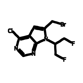 FCC(CF)n1c(CBr)cc2c(Cl)ncnc21